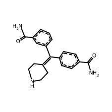 NC(=O)c1ccc(C(=C2CCNCC2)c2cccc(C(N)=O)c2)cc1